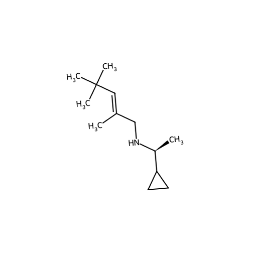 C/C(=C\C(C)(C)C)CN[C@@H](C)C1CC1